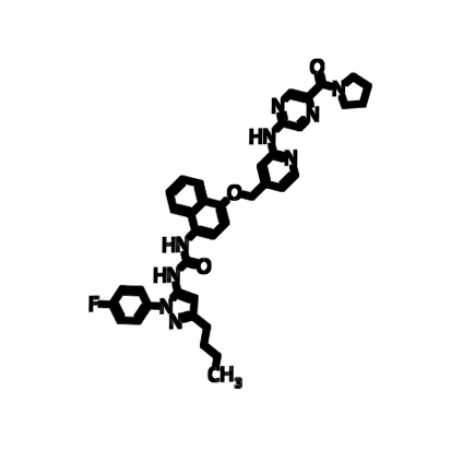 CCCCc1cc(NC(=O)Nc2ccc(OCc3ccnc(Nc4cnc(C(=O)N5CCCC5)cn4)c3)c3ccccc23)n(-c2ccc(F)cc2)n1